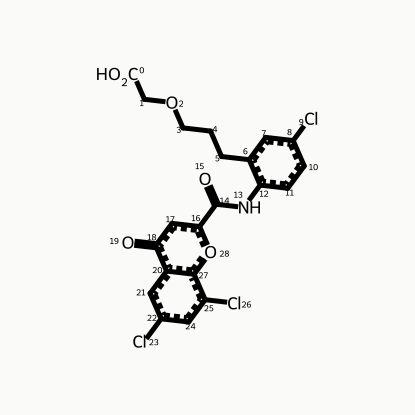 O=C(O)COCCCc1cc(Cl)ccc1NC(=O)c1cc(=O)c2cc(Cl)cc(Cl)c2o1